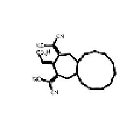 N#CC(C#N)=C1CC2CCCCCCCCCC2CC(=C(C#N)C#N)C1=CC(=O)O